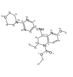 CCOC(=O)N1c2ccc(OC)nc2C(Nc2cnc(N3CCOCC3)nc2)CC1CC